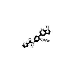 COc1cc(NC(=O)c2ccco2)ccc1-c1cnc2[nH]ccc2c1